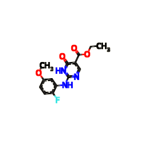 CCOC(=O)c1cnc(Nc2cc(OC)ccc2F)[nH]c1=O